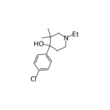 CCN1CCC(O)(c2ccc(Cl)cc2)C(C)(C)C1